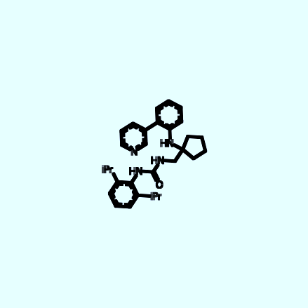 CC(C)c1cccc(C(C)C)c1NC(=O)NCC1(Nc2ccccc2-c2cccnc2)CCCC1